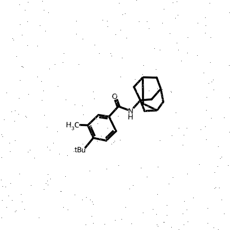 Cc1cc(C(=O)NC23CC4CC(CC(C4)C2)C3)ccc1C(C)(C)C